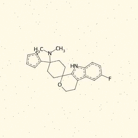 CN(C)C1(c2cccs2)CCC2(CC1)OCCc1c2[nH]c2ccc(F)cc12